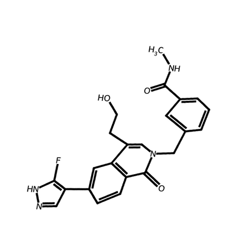 CNC(=O)c1cccc(Cn2cc(CCO)c3cc(-c4cn[nH]c4F)ccc3c2=O)c1